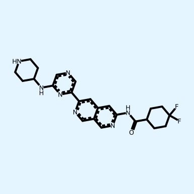 O=C(Nc1cc2cc(-c3cncc(NC4CCNCC4)n3)ncc2cn1)C1CCC(F)(F)CC1